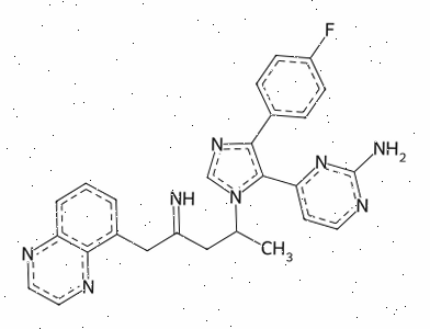 CC(CC(=N)Cc1cccc2nccnc12)n1cnc(-c2ccc(F)cc2)c1-c1ccnc(N)n1